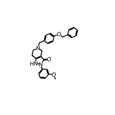 COc1cccc(-n2[nH]c3c(c2=O)CN(Cc2ccc(OCc4ccccc4)cc2)CC3)c1